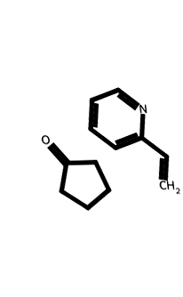 C=Cc1ccccn1.O=C1CCCC1